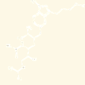 COCCCc1cn(C)c2ccc(CC(CC(NC(=O)O)C(O)CNC(C)C)C(C)C)cc12